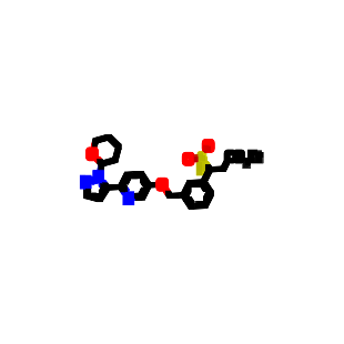 CCOC(=O)CC(c1cccc(COc2ccc(-c3ccnn3C3CCCCO3)nc2)c1)[SH](=O)=O